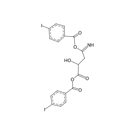 N=C(CC(O)C(=O)OC(=O)c1ccc(I)cc1)OC(=O)c1ccc(I)cc1